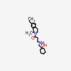 CCc1ccc2c(c1)C(C)N(C(=O)CCNCC1(O)CCCCC1)CC2